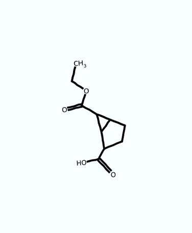 CCOC(=O)C1C2CCC(C(=O)O)C21